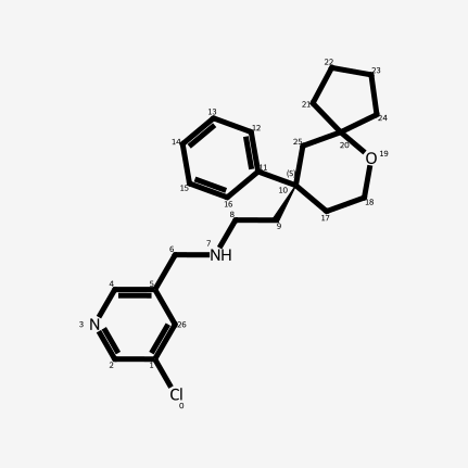 Clc1cncc(CNCC[C@]2(c3ccccc3)CCOC3(CCCC3)C2)c1